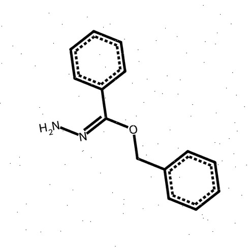 NN=C(OCc1ccccc1)c1ccccc1